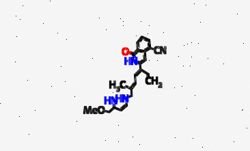 C=C/C(=C\C=C(/C)CN/C=C\C(=N)COC)c1cc2c(C#N)cccc2c(=O)[nH]1